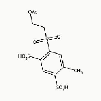 CC(=O)OCCS(=O)(=O)c1cc(C)c(S(=O)(=O)O)cc1S(=O)(=O)O